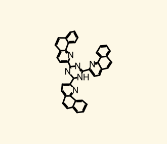 c1ccc2c(c1)ccc1ccc(C3=NC(c4ccc5ccc6ccccc6c5n4)NC(c4ccc5ccc6ccccc6c5n4)=N3)nc12